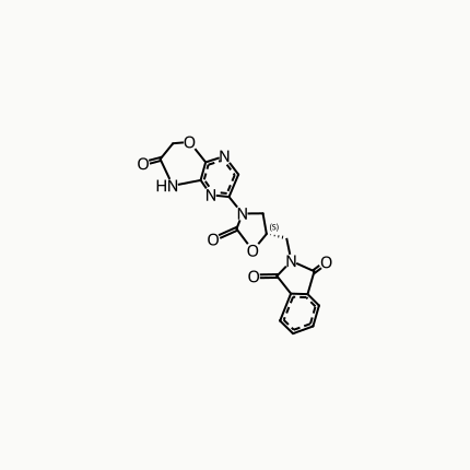 O=C1COc2ncc(N3C[C@H](CN4C(=O)c5ccccc5C4=O)OC3=O)nc2N1